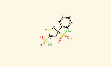 O=S(=O)(Cl)C1=CC(c2ccccc2)(S(=O)(=O)Cl)CS1